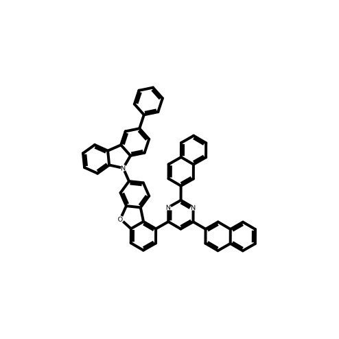 c1ccc(-c2ccc3c(c2)c2ccccc2n3-c2ccc3c(c2)oc2cccc(-c4cc(-c5ccc6ccccc6c5)nc(-c5ccc6ccccc6c5)n4)c23)cc1